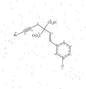 CCOC(=O)C(/C=C/c1cccc(Cl)c1)(CC#CC(C)=O)C(=O)OCC